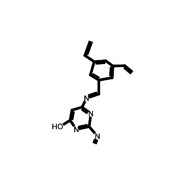 C=Cc1cc(C=C)cc(C=Nc2cc(O)nc(N=C)n2)c1